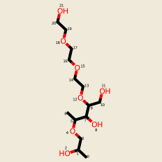 CC(O)COC(C)C(O)C(CO)OCCOCCOCCO